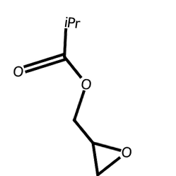 CC(C)C(=O)OCC1CO1